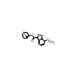 COC1C=CC=C2C(C(=O)OC3CN4CCC3CC4)=NN=C21